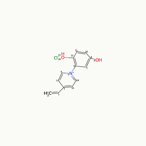 C=Cc1cc[n+](-c2cc(O)ccc2O)cc1.[Cl-]